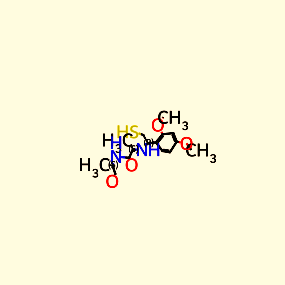 COc1ccc([C@H](CS)N[C@@H](C)C(=O)N[C@@H](C)C=O)c(OC)c1